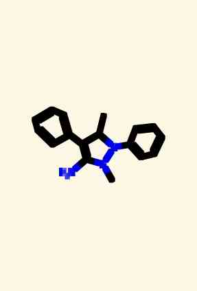 CC1C(c2ccccc2)=C(N)N(C)N1c1ccccc1